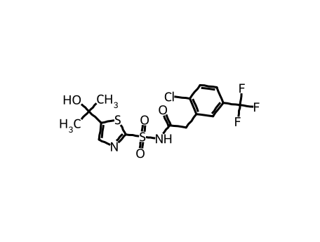 CC(C)(O)c1cnc(S(=O)(=O)NC(=O)Cc2cc(C(F)(F)F)ccc2Cl)s1